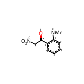 CNc1ccccc1C(=O)C[N+](=O)[O-]